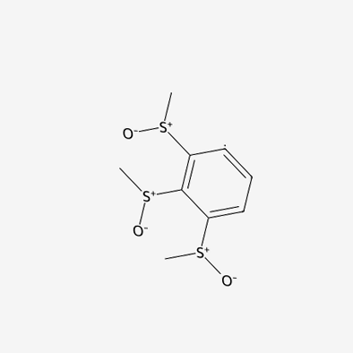 C[S+]([O-])c1[c]ccc([S+](C)[O-])c1[S+](C)[O-]